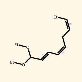 CC/C=C\C/C=C\C=C\C(OCC)OCC